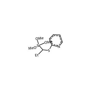 CCC(Sc1ccccn1)[Si](OC)(OC)OC